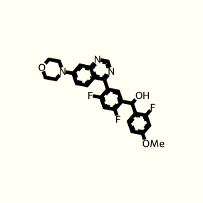 COc1ccc(C(O)c2cc(-c3ncnc4cc(N5CCOCC5)ccc34)c(F)cc2F)c(F)c1